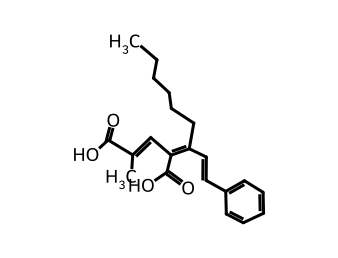 CCCCCCC(C=Cc1ccccc1)=C(C=C(C)C(=O)O)C(=O)O